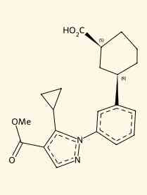 COC(=O)c1cnn(-c2cccc([C@@H]3CCC[C@H](C(=O)O)C3)c2)c1C1CC1